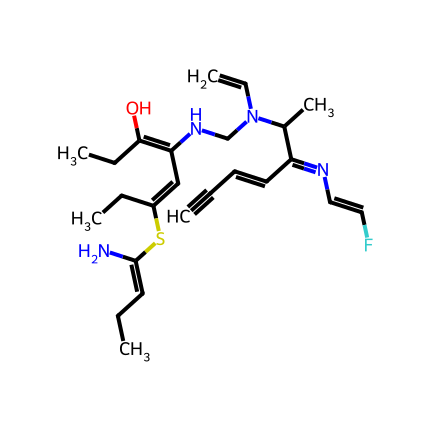 C#C/C=C/C(=N\C=C\F)C(C)N(C=C)CNC(/C=C(\CC)S/C(N)=C/CC)=C(\O)CC